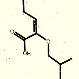 CC/C=C(/OCC(C)C)C(=O)O